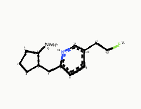 CNC1CCCC1Cc1ccc(CCF)cn1